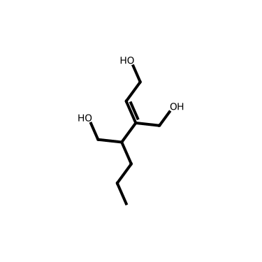 CCCC(CO)C(=CCO)CO